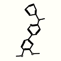 COc1ccc(-c2ccc(N(C)c3ccccc3)nc2)cc1OC